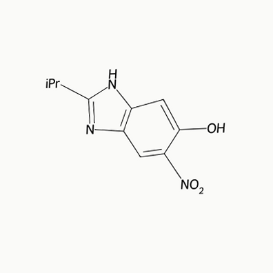 CC(C)c1nc2cc([N+](=O)[O-])c(O)cc2[nH]1